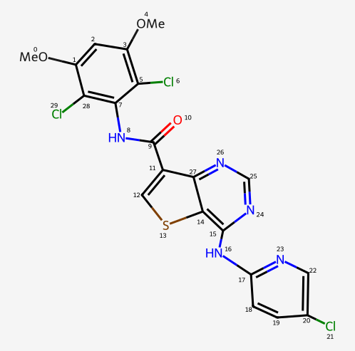 COc1cc(OC)c(Cl)c(NC(=O)c2csc3c(Nc4ccc(Cl)cn4)ncnc23)c1Cl